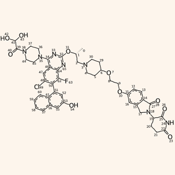 C[C@H](CN1CCC(OCCOc2ccc3c(c2)CN(C2CCC(=O)NC2=O)C3=O)CC1)Oc1nc(N2CCN(C(=O)C(O)O)CC2)c2cc(Cl)c(-c3cc(O)cc4ccccc34)c(F)c2n1